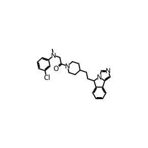 CN(CC(=O)N1CCC(CCC2c3ccccc3-c3cncn32)CC1)c1cccc(Cl)c1